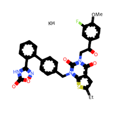 CCc1cc2c(=O)n(CC(=O)c3ccc(OC)c(F)c3)c(=O)n(Cc3ccc(-c4ccccc4-c4noc(=O)[nH]4)cc3)c2s1.[KH]